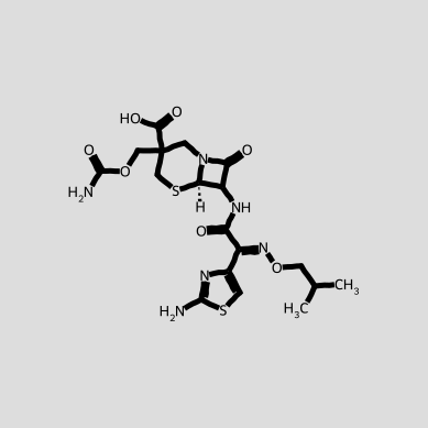 CC(C)CON=C(C(=O)NC1C(=O)N2CC(COC(N)=O)(C(=O)O)CS[C@H]12)c1csc(N)n1